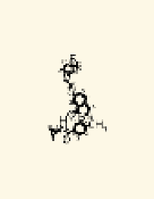 Cc1ccc(C(=O)NC2CC2)cc1-n1ccc2ccc(OCCN3CCC(F)(F)C3)cc2c1=O